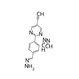 C#Cc1cnc(-c2ccc(C=NN)cc2)nc1.C#N.C#N